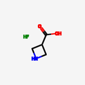 F.O=C(O)C1CNC1